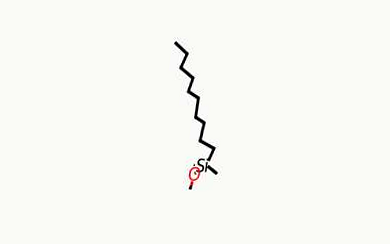 CCCCCCCCCC[Si](C)OC